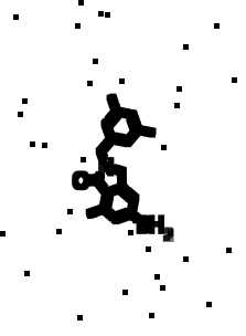 Bc1cc(C)c2c(c1)CN(Cc1cc(C)cc(C)c1)C2=O